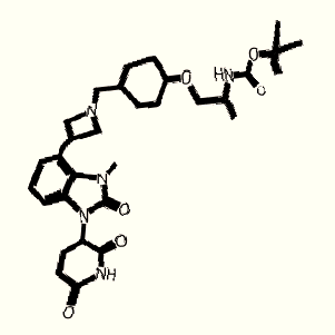 CC(COC1CCC(CN2CC(c3cccc4c3n(C)c(=O)n4C3CCC(=O)NC3=O)C2)CC1)NC(=O)OC(C)(C)C